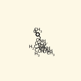 C=C(C)C(C(=O)O)N1C(=O)C(NC(=O)Cc2ccc(OC)cc2)C1[S+]([O-])NNC(=O)NC